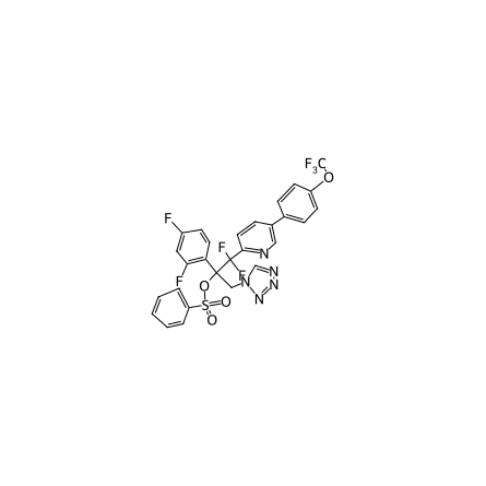 O=S(=O)(OC(Cn1cnnn1)(c1ccc(F)cc1F)C(F)(F)c1ccc(-c2ccc(OC(F)(F)F)cc2)cn1)c1ccccc1